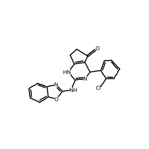 O=C1CCC2=C1C(c1ccccc1Cl)N=C(Nc1nc3ccccc3o1)N2